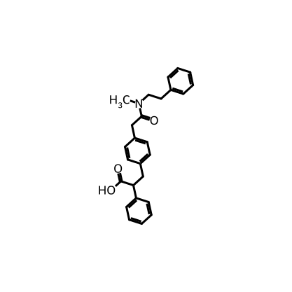 CN(CCc1ccccc1)C(=O)Cc1ccc(CC(C(=O)O)c2ccccc2)cc1